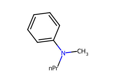 CCCN(C)c1ccccc1